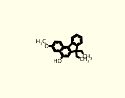 CCC1(CC)c2ccccc2-c2c1cc(O)c1cc(OC)ccc21